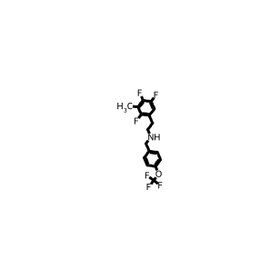 Cc1c(F)c(F)cc(CCNCc2ccc(OC(F)(F)F)cc2)c1F